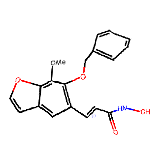 COc1c(OCc2ccccc2)c(/C=C/C(=O)NO)cc2ccoc12